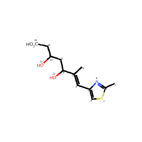 C/C(=C\c1csc(C)n1)C(O)CC(O)CC(=O)O